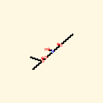 CCCCCCCCCCCOC(=O)CCCCCN(CCO)CCCCCOCC(=O)OC(CCCCCCCC)CCCCCCCC